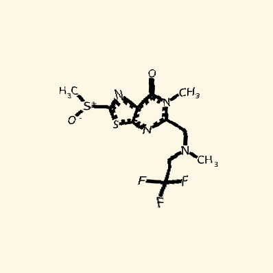 CN(Cc1nc2sc([S+](C)[O-])nc2c(=O)n1C)CC(F)(F)F